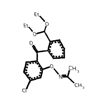 CCOC(OCC)c1ccccc1C(=O)c1ccc(Cl)cc1ON=C(C)C